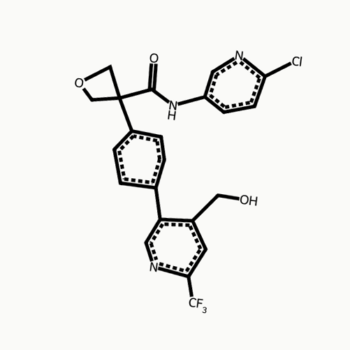 O=C(Nc1ccc(Cl)nc1)C1(c2ccc(-c3cnc(C(F)(F)F)cc3CO)cc2)COC1